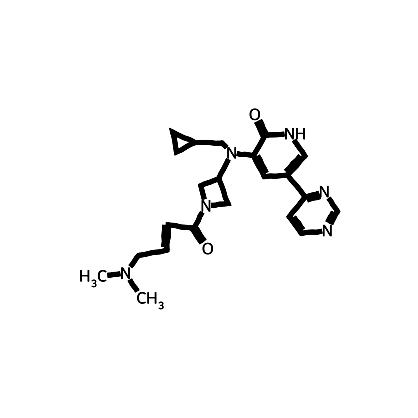 CN(C)CC=CC(=O)N1CC(N(CC2CC2)c2cc(-c3ccncn3)c[nH]c2=O)C1